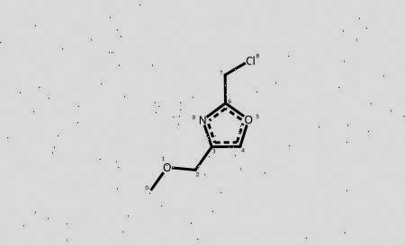 COCc1coc(CCl)n1